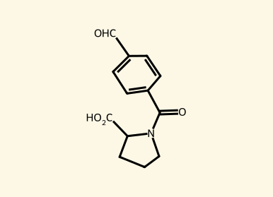 O=Cc1ccc(C(=O)N2CCCC2C(=O)O)cc1